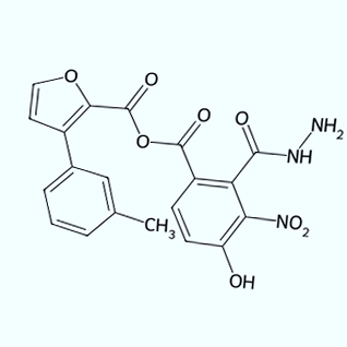 Cc1cccc(-c2ccoc2C(=O)OC(=O)c2ccc(O)c([N+](=O)[O-])c2C(=O)NN)c1